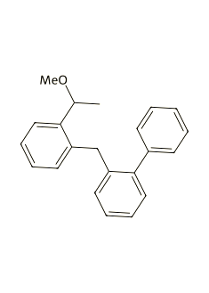 COC(C)c1ccccc1Cc1ccccc1-c1ccccc1